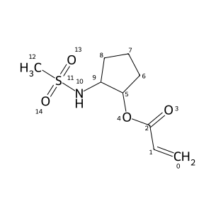 C=CC(=O)OC1CCCC1NS(C)(=O)=O